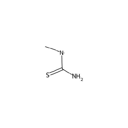 C[N]C(N)=S